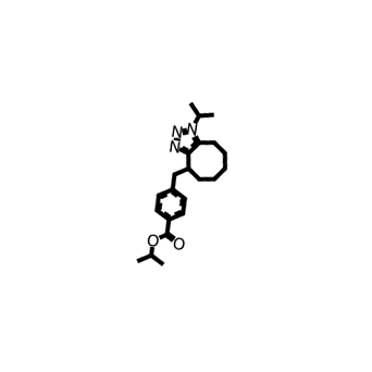 CC(C)OC(=O)c1ccc(CC2CCCCCc3c2nnn3C(C)C)cc1